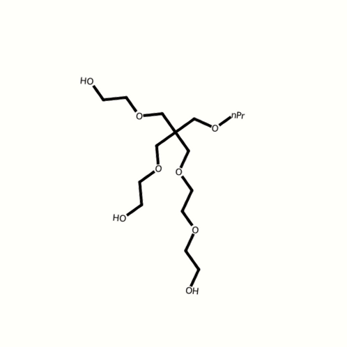 CCCOCC(COCCO)(COCCO)COCCOCCO